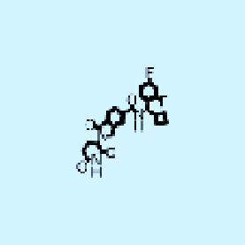 O=C1CC[C@H](N2Cc3cc(C(=O)N[C@H](c4ccc(F)cc4F)C4CCC4)ccc3C2=O)C(=O)N1